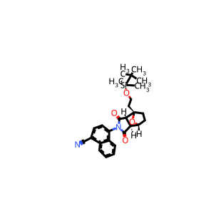 CC(C)(C)[Si](C)(C)OCC[C@@]12CC[C@@H](O1)[C@H]1C(=O)N(c3ccc(C#N)c4ccccc34)C(=O)[C@H]12